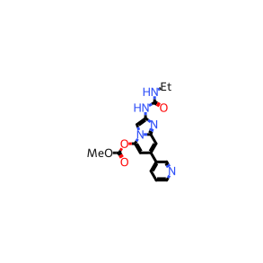 CCNC(=O)Nc1cn2c(OC(=O)OC)cc(-c3cccnc3)cc2n1